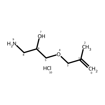 C=C(C)COCC(O)CN.Cl